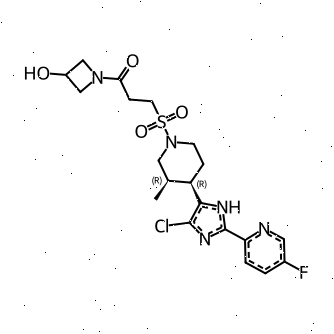 C[C@H]1CN(S(=O)(=O)CCC(=O)N2CC(O)C2)CC[C@H]1c1[nH]c(-c2ccc(F)cn2)nc1Cl